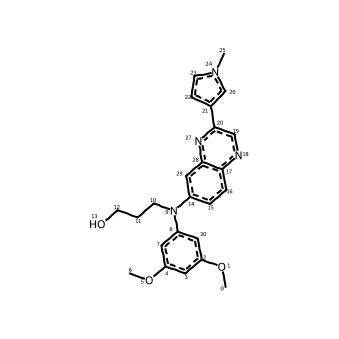 COc1cc(OC)cc(N(CCCO)c2ccc3ncc(-c4ccn(C)c4)nc3c2)c1